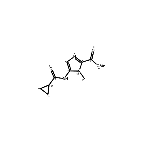 COC(=O)c1ncc(NC(=O)C2CC2)n1C